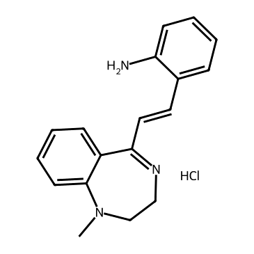 CN1CCN=C(C=Cc2ccccc2N)c2ccccc21.Cl